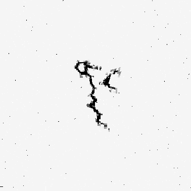 CC1OC1Cl.CCCCCCCCCc1ccccc1O